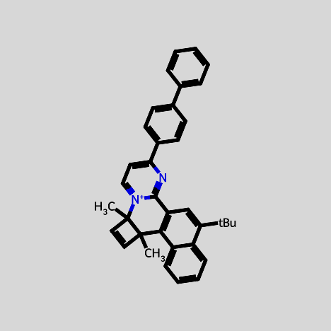 CC(C)(C)c1cc2c(c3ccccc13)C1(C)C=CC1(C)[n+]1ccc(-c3ccc(-c4ccccc4)cc3)nc1-2